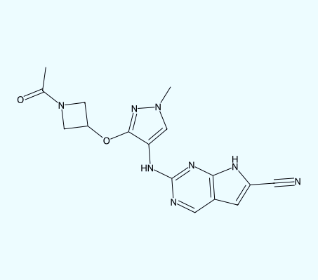 CC(=O)N1CC(Oc2nn(C)cc2Nc2ncc3cc(C#N)[nH]c3n2)C1